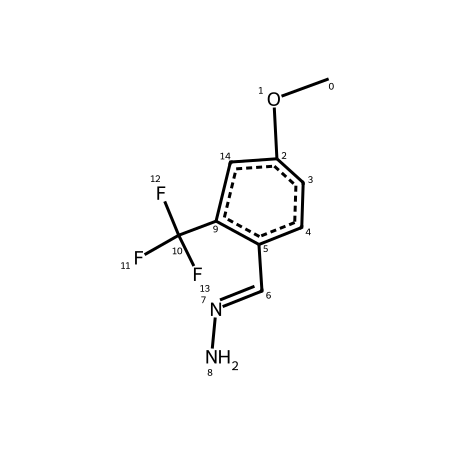 COc1ccc(C=NN)c(C(F)(F)F)c1